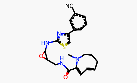 CN1CCC/C=C/C=C\1C(=O)NCC1OC1Nc1nc(-c2cccc(C#N)c2)cs1